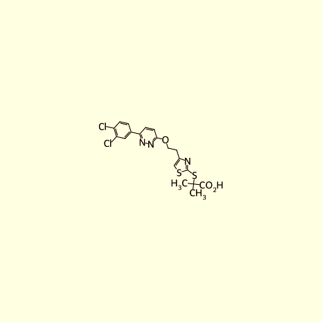 CC(C)(Sc1nc(CCOc2ccc(-c3ccc(Cl)c(Cl)c3)nn2)cs1)C(=O)O